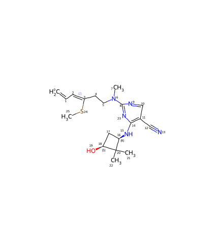 C=C/C=C(/CCN(C)c1ncc(C#N)c(N[C@@H]2C[C@H](O)C2(C)C)n1)SC